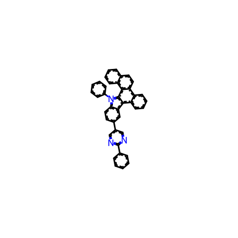 c1ccc(-c2ncc(-c3ccc4c(c3)c3c5ccccc5c5ccc6ccccc6c5c3n4-c3ccccc3)cn2)cc1